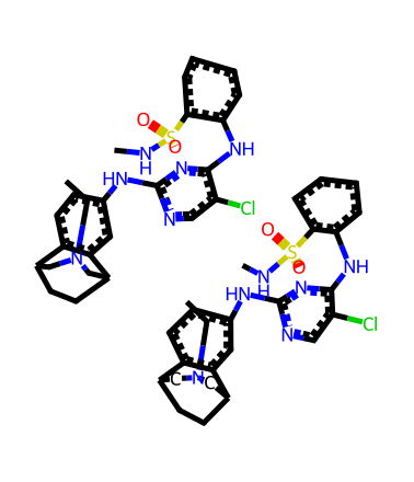 CCN1CC2CCC(C1)c1cc(Nc3ncc(Cl)c(Nc4ccccc4S(=O)(=O)NC)n3)ccc12.CCN1CC2CCC(C1)c1cc(Nc3ncc(Cl)c(Nc4ccccc4S(=O)(=O)NC)n3)ccc12